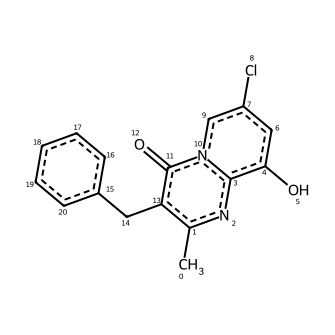 Cc1nc2c(O)cc(Cl)cn2c(=O)c1Cc1ccccc1